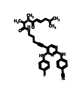 CC(C(=O)NCCCC#Cc1cnc(Nc2ccc(C#N)cc2)nc1Nc1ccc(F)cc1)N(C)C(=O)C=CCN(C)C